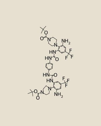 CC(C)(C)OC(=O)N1CCN(c2c(N)cc(C(F)(F)F)cc2NC(=O)Nc2ccc(NC(=O)Nc3cc(C(F)(F)F)cc(N)c3N3CCN(C(=O)OC(C)(C)C)CC3)cc2)CC1